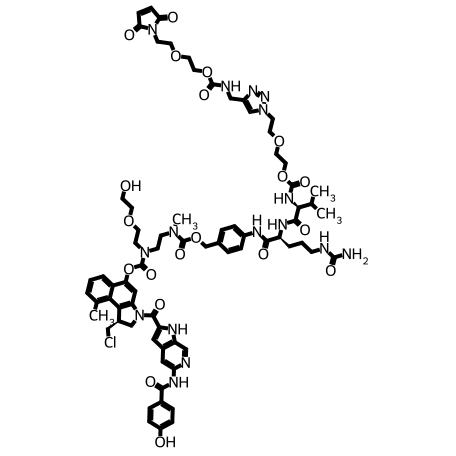 Cc1cccc2c(OC(=O)N(CCOCCO)CCN(C)C(=O)OCc3ccc(NC(=O)[C@H](CCCNC(N)=O)NC(=O)[C@@H](NC(=O)OCCOCCn4cc(CNC(=O)OCCOCCN5C(=O)C=CC5=O)nn4)C(C)C)cc3)cc3c(c12)[C@H](CCl)CN3C(=O)c1cc2cc(NC(=O)c3ccc(O)cc3)ncc2[nH]1